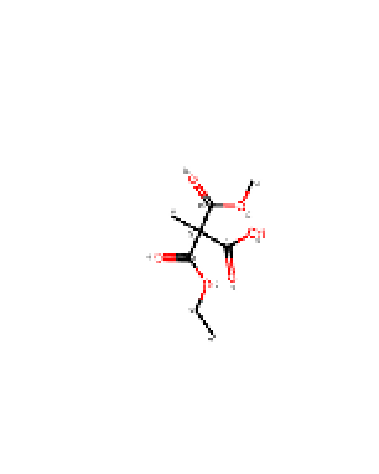 CCOC(=O)C(C)(C(=O)O)C(=O)OC